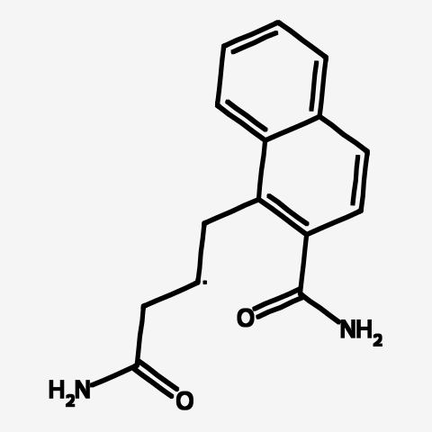 NC(=O)C[CH]Cc1c(C(N)=O)ccc2ccccc12